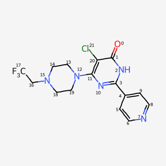 O=c1[nH]c(-c2ccncc2)nc(N2CCN(CC(F)(F)F)CC2)c1Cl